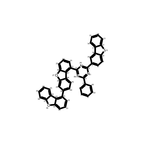 c1ccc(-c2nc(-c3ccc4sc5ccccc5c4c3)nc(-c3cccc4oc5cc(-c6cccc7oc8ccccc8c67)ccc5c34)n2)cc1